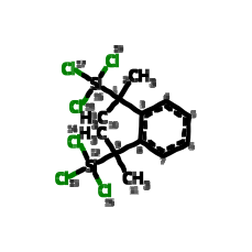 CC(C)(c1ccccc1C(C)(C)[Si](Cl)(Cl)Cl)[Si](Cl)(Cl)Cl